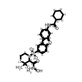 CC1(C)SCCN(S(=O)(=O)c2ccc3oc4cc(NC(=O)C5CCCCC5)ccc4c3c2)C1C(=O)NO